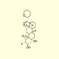 C[C@]12CCC3[C@@H](CC[C@@]4(O)C[C@@H](O)[C@H](F)C[C@]34C)[C@@H]1CCCN2C(=O)[C@H]1CCCCO1